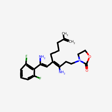 C=C(C)CCCC(/C=C(\N)c1c(F)cccc1F)=C(/N)CCN1CCOC1=O